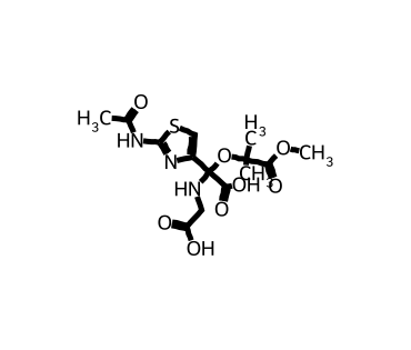 COC(=O)C(C)(C)OC(NCC(=O)O)(C(=O)O)c1csc(NC(C)=O)n1